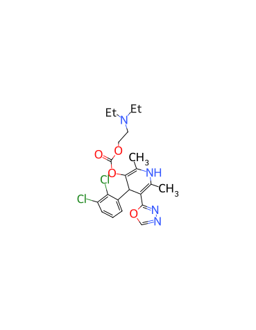 CCN(CC)CCOC(=O)OC1=C(C)NC(C)=C(c2nnco2)C1c1cccc(Cl)c1Cl